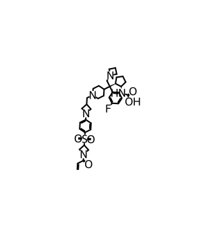 C=CC(=O)N1CC(S(=O)(=O)c2ccc(N3CC(CN4CCC(C(CN5CCC5)(c5cccc(F)c5)[C@H]5CCC[C@@H]5NC(=O)O)CC4)C3)cc2)C1